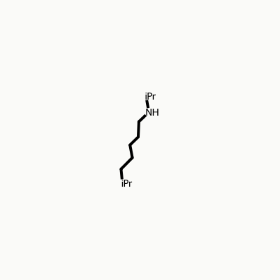 CC(C)CCCCCNC(C)C